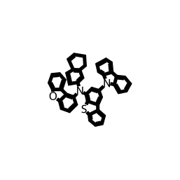 C1=Cc2ccc(N(c3cc(-n4c5ccccc5c5ccccc54)cc4c3sc3ccccc34)c3cccc4oc5ccccc5c34)cc2CC1